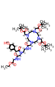 CCOC(=O)CNC(=O)CN(CCNC(=O)CN1CCN(CC(=O)OC(C)(C)C)CCN(CC(=O)OC(C)(C)C)CCN(CC(=O)OC(C)(C)C)CC1)C(=O)Cc1ccc(O)cc1